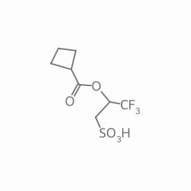 O=C(OC(CS(=O)(=O)O)C(F)(F)F)C1CCC1